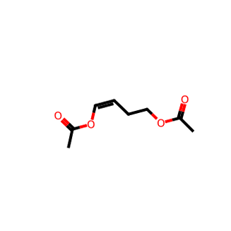 CC(=O)O/C=C\CCOC(C)=O